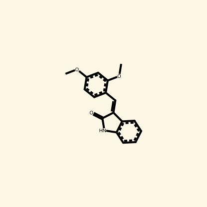 COc1ccc(C=C2C(=O)Nc3ccccc32)c(OC)c1